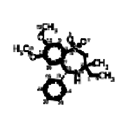 CC[C@@]1(C)CS(=O)(=O)c2cc(OC)c(OC)cc2[C@@H](c2ccccc2)N1